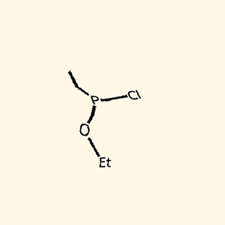 CCOP(C)Cl